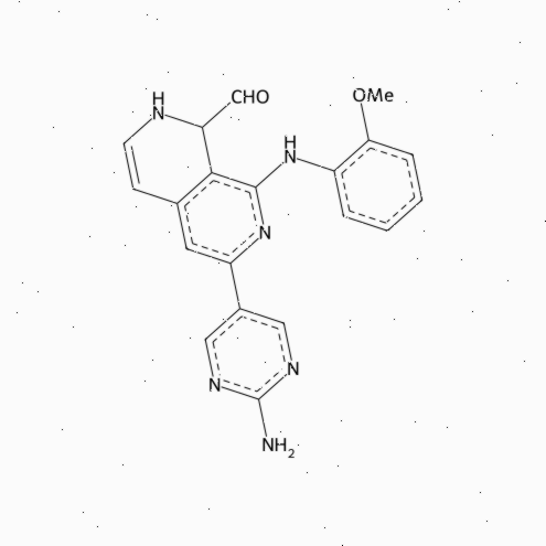 COc1ccccc1Nc1nc(-c2cnc(N)nc2)cc2c1C(C=O)NC=C2